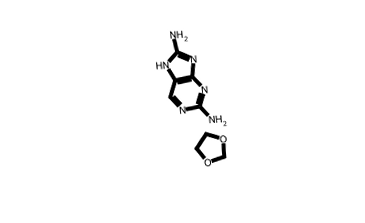 C1COCO1.Nc1ncc2[nH]c(N)nc2n1